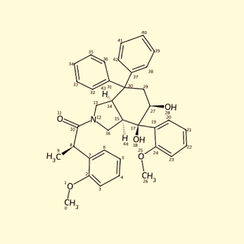 COc1ccccc1[C@@H](C)C(=O)N1C[C@@H]2[C@H](C1)[C@@](O)(c1ccccc1OC)[C@H](O)CC2(c1ccccc1)c1ccccc1